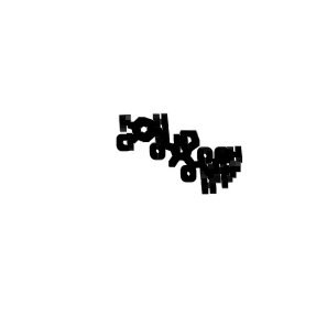 Cc1c(C(=O)C(=O)N[C@](C)(CO)C(F)(F)F)c2n(c1C(=O)Nc1ccc(F)c(Cl)c1)CCC2